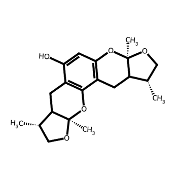 C[C@H]1CO[C@]2(C)Oc3cc(O)c4c(c3CC12)O[C@@]1(C)OC[C@H](C)C1C4